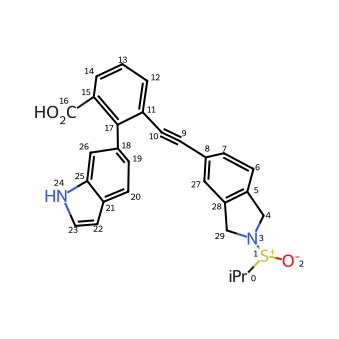 CC(C)[S+]([O-])N1Cc2ccc(C#Cc3cccc(C(=O)O)c3-c3ccc4cc[nH]c4c3)cc2C1